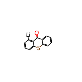 [Li][c]1cccc2sc3ccccc3c(=O)c12